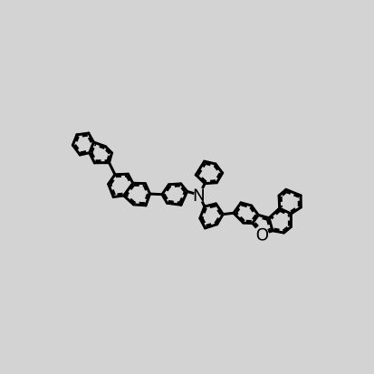 c1ccc(N(c2ccc(-c3ccc4ccc(-c5ccc6ccccc6c5)cc4c3)cc2)c2cccc(-c3ccc4c(c3)oc3ccc5ccccc5c34)c2)cc1